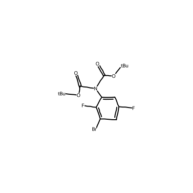 CC(C)(C)OC(=O)N(C(=O)OC(C)(C)C)c1cc(F)cc(Br)c1F